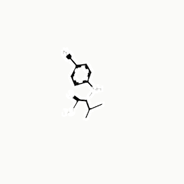 CC(C)[C@H](Nc1ccc(C#N)cc1)C(=O)O